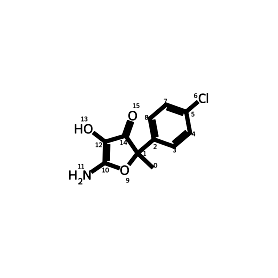 CC1(c2ccc(Cl)cc2)OC(N)=C(O)C1=O